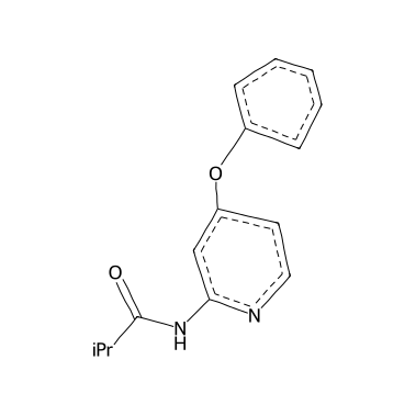 CC(C)C(=O)Nc1cc(Oc2ccccc2)ccn1